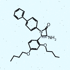 CCCCOc1ccc([C@@H]2[C@@H](N)C(=O)N2c2ccc(-c3ccccc3)cc2)c(OCCCC)c1